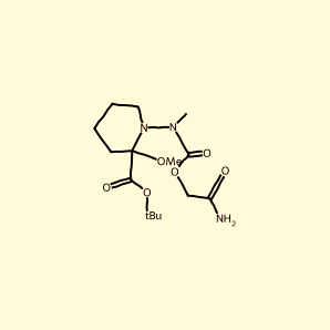 COC1(C(=O)OC(C)(C)C)CCCCN1N(C)C(=O)OCC(N)=O